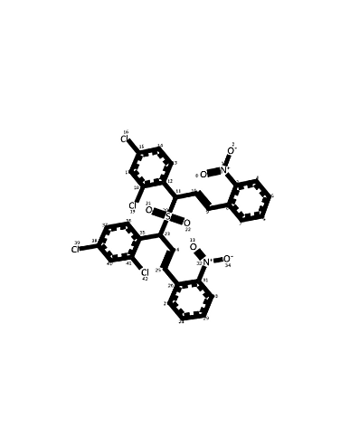 O=[N+]([O-])c1ccccc1C=CC(c1ccc(Cl)cc1Cl)S(=O)(=O)C(C=Cc1ccccc1[N+](=O)[O-])c1ccc(Cl)cc1Cl